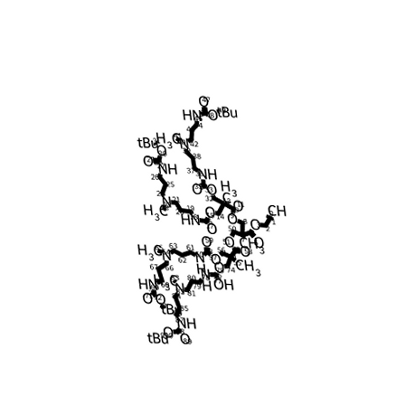 C#CCOC(=O)C(C)(COC(=O)C(C)(COC(=O)NCCCN(C)CCCNC(=O)OC(C)(C)C)COC(=O)NCCCN(C)CCCNC(=O)OC(C)(C)C)COC(=O)C(C)(COC(=O)NCCCN(C)CCCNC(=O)OC(C)(C)C)COC(O)NCCCN(C)CCCNC(=O)OC(C)(C)C